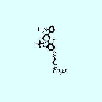 CCOC(=O)COCCCOc1cc(F)c([C@@H]2C=C(c3ccccc3N)C[C@@H](C)N2CC(C)(C)F)c(F)c1